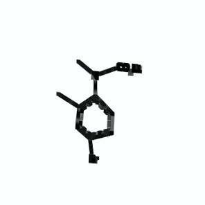 CCOC(=O)N(C)c1ccc(Br)cc1C